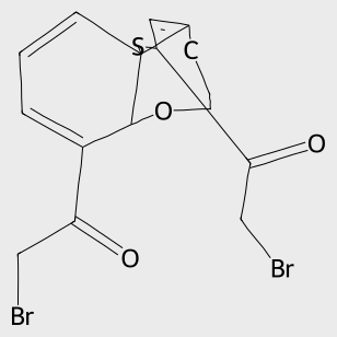 O=C(CBr)C1=CC=CC23SC(C(=O)CBr)C=C2CCCOC13